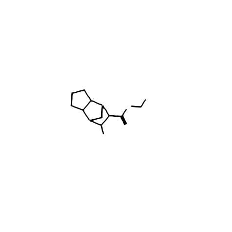 O=C(O)COC(=O)C1C2CC(C3CCCC32)C1C(=O)O